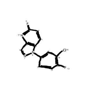 Fc1ccc2c(cnn2-c2ccc(F)c(Cl)c2)n1